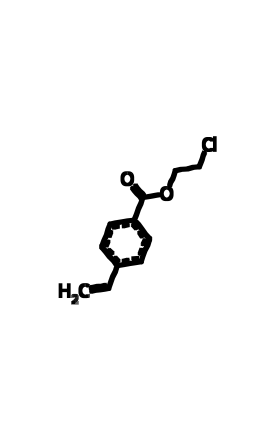 C=Cc1ccc(C(=O)OCCCl)cc1